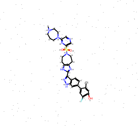 CCc1cc(O)c(F)cc1-c1ccc2c(-c3nc4c([nH]3)CCN(S(=O)(=O)c3cncc(N5CCCN(C)CC5)n3)CC4)n[nH]c2c1